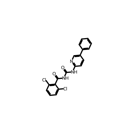 O=C(NC(=O)c1c(Cl)cccc1Cl)Nc1ccc(-c2ccccc2)cn1